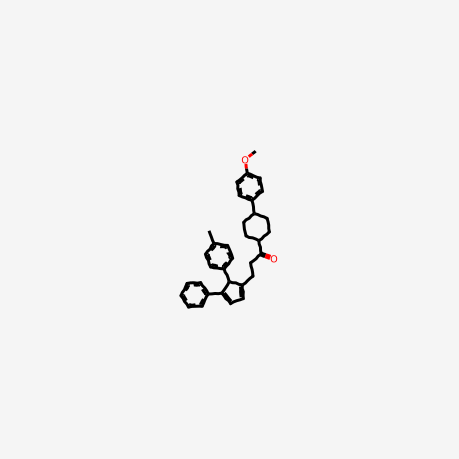 COc1ccc(C2CCC(C(=O)CCC3=CC=C(c4ccccc4)C3c3ccc(C)cc3)CC2)cc1